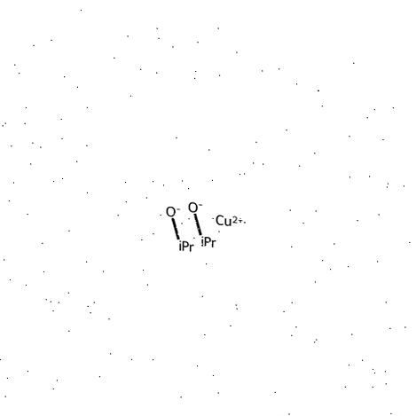 CC(C)[O-].CC(C)[O-].[Cu+2]